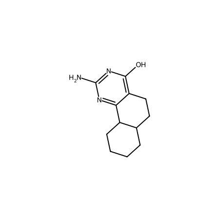 Nc1nc(O)c2c(n1)C1CCCCC1CC2